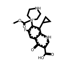 [CH2]OC(=O)[N+]1(c2c(F)cc3c(=O)c(C(=O)O)c[nH]c3c2C2CC2)CCNCC1